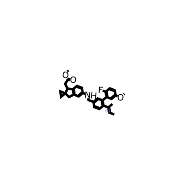 C/C=C(\C)c1ccc(CNc2ccc3c(c2)CC2(CC2)C3CC(=O)OC)cc1-c1cc(OC)ccc1F